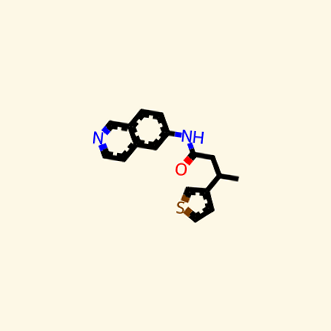 CC(CC(=O)Nc1ccc2cnccc2c1)c1ccsc1